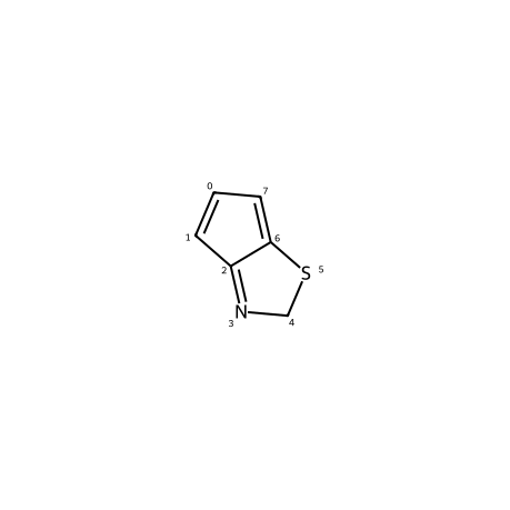 C1=CC2=NCSC2=C1